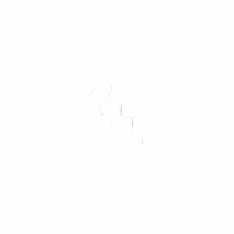 Cc1cc(CCCO)cc(C)c1NC=O